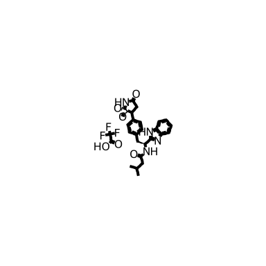 CC(C)CC(=O)N[C@@H](Cc1ccc(C2CC(=O)NS2(=O)=O)cc1)c1nc2ccccc2[nH]1.O=C(O)C(F)(F)F